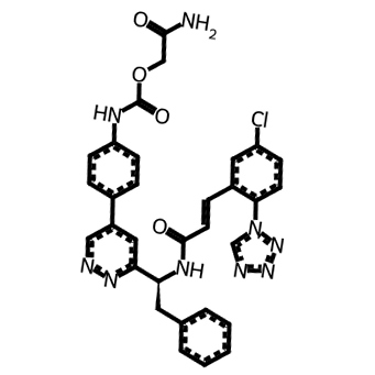 NC(=O)COC(=O)Nc1ccc(-c2cnnc([C@H](Cc3ccccc3)NC(=O)/C=C/c3cc(Cl)ccc3-n3cnnn3)c2)cc1